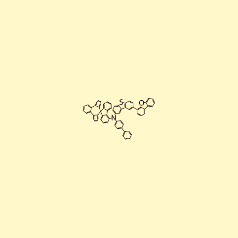 c1ccc(-c2ccc(N(c3ccc4sc5ccc(-c6cccc7c6oc6ccccc67)cc5c4c3)c3cccc4c3-c3ccccc3C43c4ccccc4-c4ccccc4-c4ccccc43)cc2)cc1